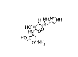 NC(=O)C[C@H](NC(=O)[C@H](CO)NC(=O)[C@@H](N)Cc1c[nH]cn1)C(=O)O